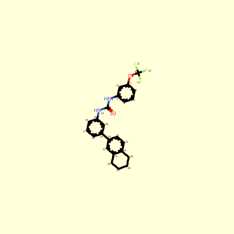 O=C(Nc1cccc(OC(F)(F)F)c1)Nc1cccc(-c2ccc3c(c2)CC[CH]C3)c1